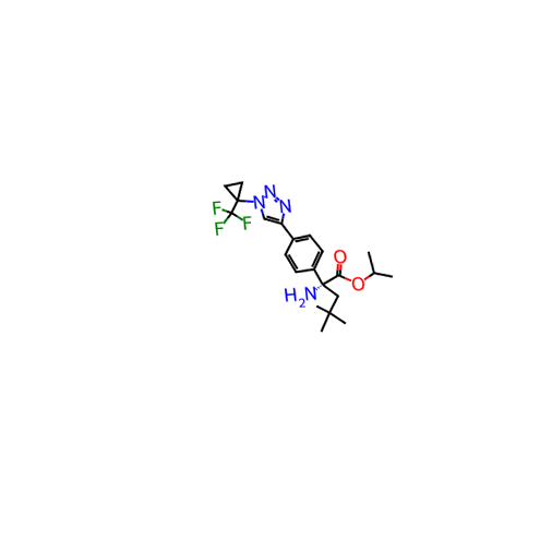 CC(C)OC(=O)[C@@](N)(CC(C)(C)C)c1ccc(-c2cn(C3(C(F)(F)F)CC3)nn2)cc1